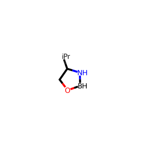 CC(C)C1COBN1